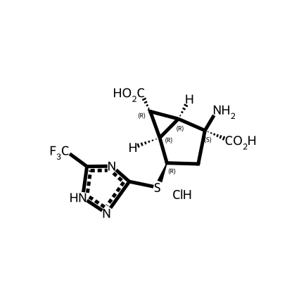 Cl.N[C@@]1(C(=O)O)C[C@@H](Sc2n[nH]c(C(F)(F)F)n2)[C@H]2[C@H](C(=O)O)[C@H]21